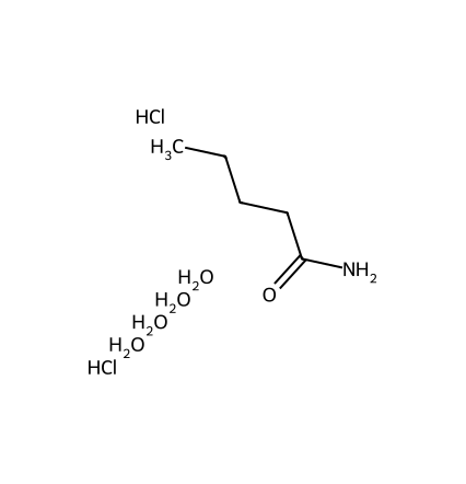 CCCCC(N)=O.Cl.Cl.O.O.O.O